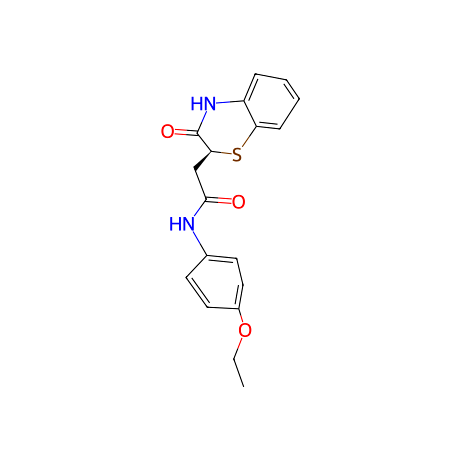 CCOc1ccc(NC(=O)C[C@@H]2Sc3ccccc3NC2=O)cc1